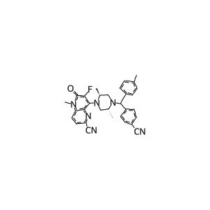 Cc1ccc(C(c2ccc(C#N)cc2)N2C[C@H](C)N(c3c(F)c(=O)n(C)c4ccc(C#N)nc34)C[C@H]2C)cc1